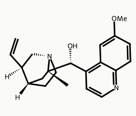 C=C[C@H]1C[N@]2CC[C@H]1C[C@@]2(C)[C@H](O)c1ccnc2ccc(OC)cc12